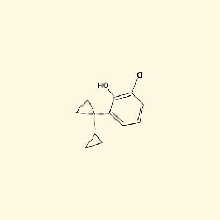 Oc1c(Cl)cccc1C1(C2CC2)CC1